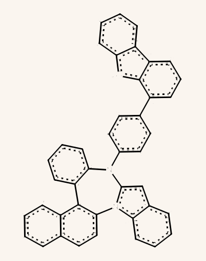 c1ccc2c(c1)-c1c(ccc3ccccc13)-n1c(cc3ccccc31)N2c1ccc(-c2cccc3c2oc2ccccc23)cc1